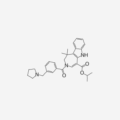 CC(C)OC(=O)C1=CN(C(=O)c2cccc(CN3CCCC3)c2)CC(C)(C)c2c1[nH]c1ccccc21